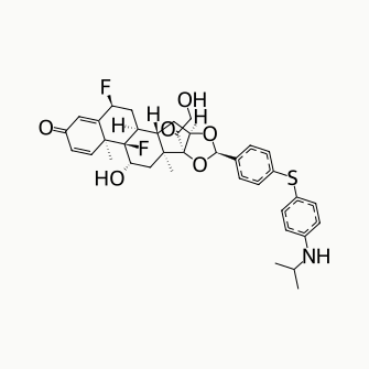 CC(C)Nc1ccc(Sc2ccc([C@@H]3O[C@@H]4C[C@H]5[C@@H]6C[C@H](F)C7=CC(=O)C=C[C@]7(C)[C@@]6(F)[C@@H](O)C[C@]5(C)[C@]4(C(=O)CO)O3)cc2)cc1